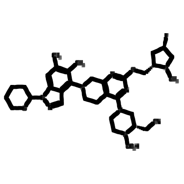 Cc1cc2c(cnn2C2CCCCO2)c(N2CCc3c(nc(OC[C@@H]4C[C@@H](F)CN4C)nc3N3CCN(C(=O)O)[C@@H](CC#N)C3)C2)c1C